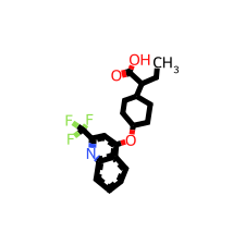 CCC(C(=O)O)C1CCC(Oc2cc(C(F)(F)F)nc3ccccc23)CC1